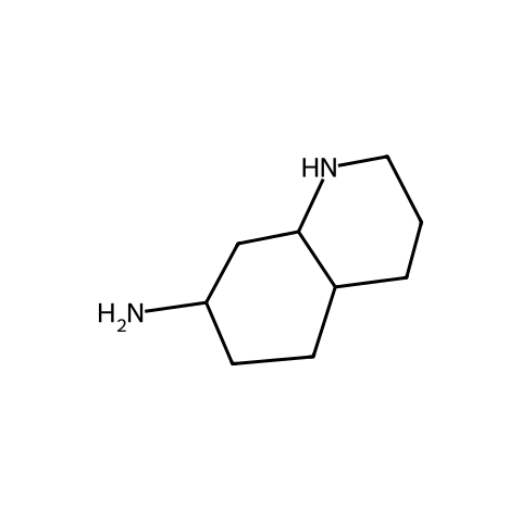 NC1CCC2CCCNC2C1